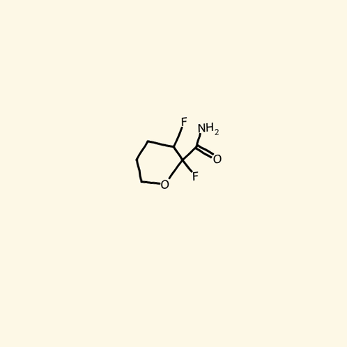 NC(=O)C1(F)OCCCC1F